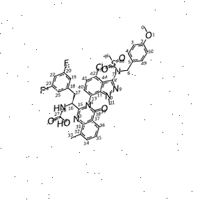 COc1ccc(CN(c2nn(C)c3c(-n4c([C@H](Cc5cc(F)cc(F)c5)NC(=O)O)nc5c(C)cccc5c4=O)ccc(Cl)c23)S(C)(=O)=O)cc1